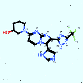 OC1CCCN(c2ccn3c(-c4cnc[nH]4)c(-c4nc(C(F)(F)F)n[nH]4)nc3n2)C1